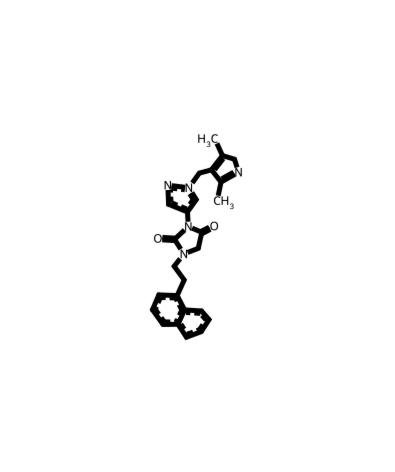 CC1=NCC(C)=C1Cn1cc(N2C(=O)CN(CCc3cccc4ccccc34)C2=O)cn1